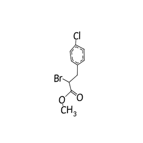 COC(=O)C(Br)Cc1ccc(Cl)cc1